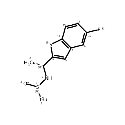 C[C@@H](N[S@@+]([O-])C(C)(C)C)c1cc2cc(F)ccc2s1